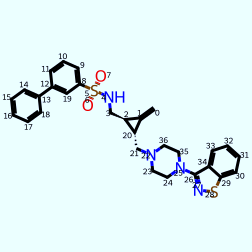 C=C1[C@H](CNS(=O)(=O)c2cccc(-c3ccccc3)c2)[C@H]1CN1CCN(c2nsc3ccccc23)CC1